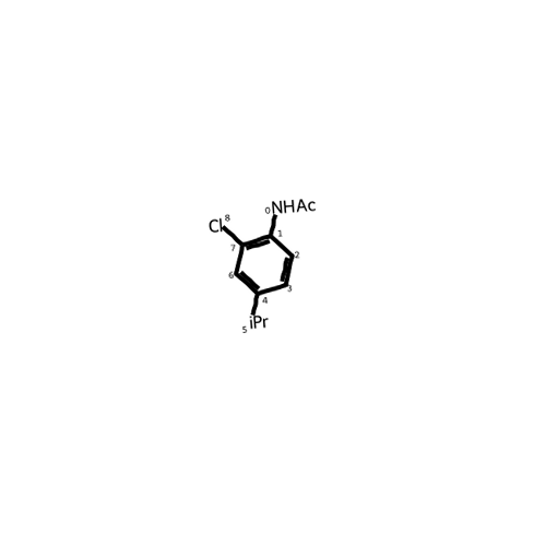 CC(=O)Nc1ccc(C(C)C)cc1Cl